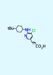 CC(C)(C)C1CCC(Nc2ncc(/C=C/C(=O)O)cc2Cl)CC1